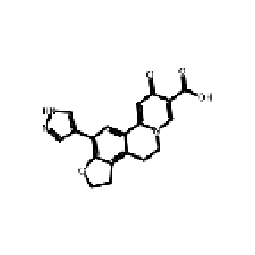 O=C(O)c1cn2c(cc1=O)-c1cc(-c3cn[nH]c3)c3c(c1CC2)CCO3